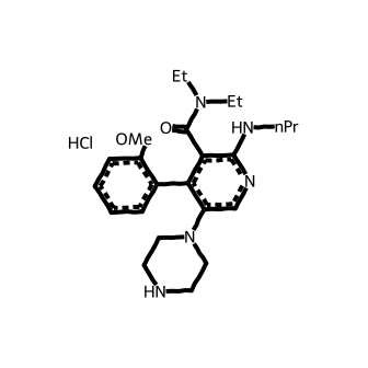 CCCNc1ncc(N2CCNCC2)c(-c2ccccc2OC)c1C(=O)N(CC)CC.Cl